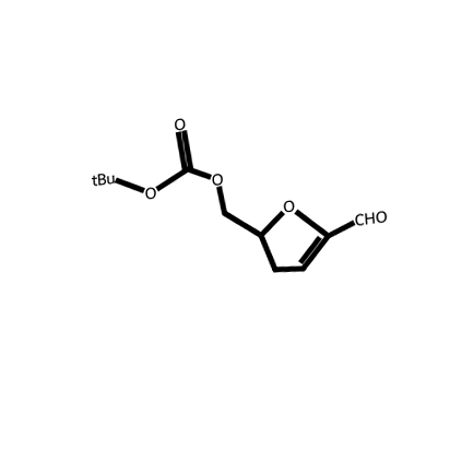 CC(C)(C)OC(=O)OCC1CC=C(C=O)O1